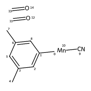 Cc1cc(C)cc(C)c1.N#[C][Mn].[C]=O.[C]=O